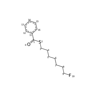 O=C(SCCCCCCCF)c1ccccc1